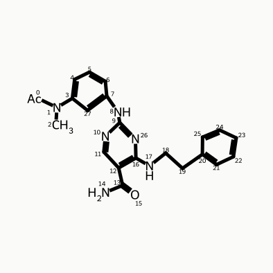 CC(=O)N(C)c1cccc(Nc2ncc(C(N)=O)c(NCCc3ccccc3)n2)c1